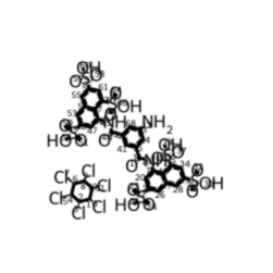 Cl[C@H]1[C@H](Cl)[C@@H](Cl)[C@@H](Cl)[C@H](Cl)[C@H]1Cl.Nc1cc(C(=O)Nc2cc(S(=O)(=O)O)cc3cc(S(=O)(=O)O)cc(S(=O)(=O)O)c23)cc(C(=O)Nc2cc(S(=O)(=O)O)cc3cc(S(=O)(=O)O)cc(S(=O)(=O)O)c23)c1